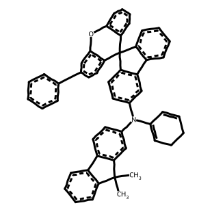 CC1(C)c2ccccc2-c2ccc(N(C3=CCCC=C3)c3ccc4c(c3)-c3ccccc3C43c4ccccc4Oc4cc(-c5ccccc5)ccc43)cc21